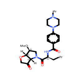 CO[C@H]1CN(C(=O)[C@H](CC(C)C)NC(=O)c2ccc(N3CCN(C(C)C)CC3)cc2)[C@@H]2C(=O)CO[C@H]12